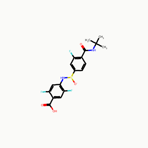 CC(C)(C)NC(=O)c1ccc([S+]([O-])Nc2cc(F)c(C(=O)O)cc2F)cc1F